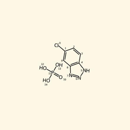 Clc1ccc2[nH]nnc2c1.O=P(O)(O)O